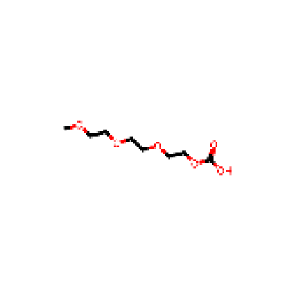 COCCOCCOCCOC(=O)O